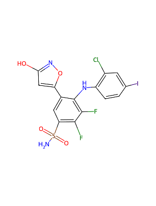 NS(=O)(=O)c1cc(-c2cc(O)no2)c(Nc2ccc(I)cc2Cl)c(F)c1F